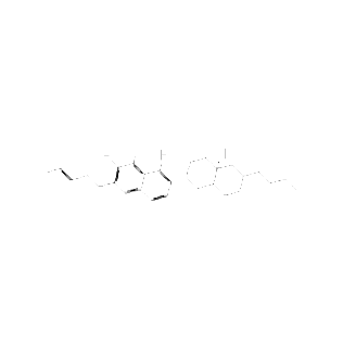 C/C=C/CCc1cc2ccc([C@@H]3CC[C@@H]4CC(CCCC)CCC4C3)c(F)c2c(F)c1F